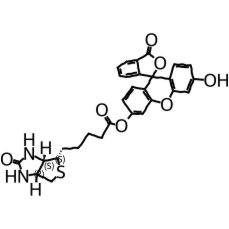 O=C1N[C@H]2[C@H](CS[C@H]2CCCCC(=O)Oc2ccc3c(c2)Oc2cc(O)ccc2C32OC(=O)c3ccccc32)N1